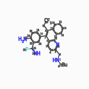 CCCCNCc1ccc(/C(=C(/CC(F)(F)F)c2ccccc2)c2ccc(N)c(C(=N)F)c2)cn1